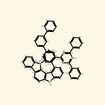 c1ccc(-c2cccc(-c3ccc(-c4cccc5oc6ccc7c8ccccc8n(-c8ccccc8)c7c6c45)c(-c4nc(-c5ccccc5)nc(-c5ccccc5)n4)c3)c2)cc1